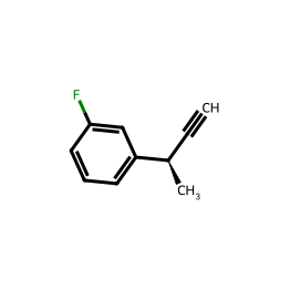 C#C[C@@H](C)c1cccc(F)c1